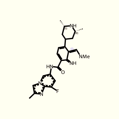 CN/C=C1\C(=N)C(C(=O)Nc2cc(F)c3nc(C)cn3c2)=CC=C1C1C[C@@H](C)N[C@@H](C)C1